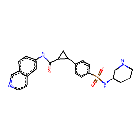 O=C(Nc1ccc2cnccc2c1)C1CC1c1ccc(S(=O)(=O)N[C@@H]2CCCNC2)cc1